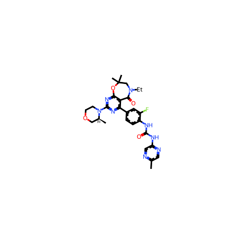 CCN1CC(C)(C)Oc2nc(N3CCOC[C@@H]3C)nc(-c3ccc(NC(=O)Nc4cnc(C)cn4)c(F)c3)c2C1=O